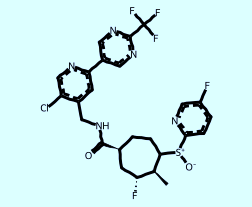 C[C@@H]1C([S+]([O-])c2ccc(F)cn2)CC[C@H](C(=O)NCc2cc(-c3cnc(C(F)(F)F)nc3)ncc2Cl)C[C@H]1F